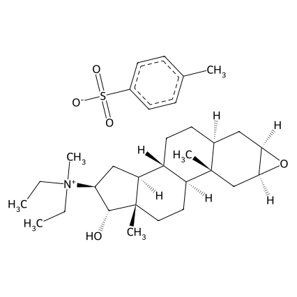 CC[N+](C)(CC)[C@H]1C[C@H]2[C@@H]3CC[C@H]4C[C@H]5O[C@H]5C[C@]4(C)[C@H]3CC[C@]2(C)[C@@H]1O.Cc1ccc(S(=O)(=O)[O-])cc1